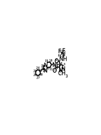 Cn1ncc(C(=O)NCC(F)(F)F)c1C(=O)Nc1ccn2cc(-c3ccccc3)nc2c1